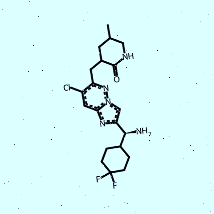 CC1CNC(=O)C(Cc2nn3cc([C@@H](N)C4CCC(F)(F)CC4)nc3cc2Cl)C1